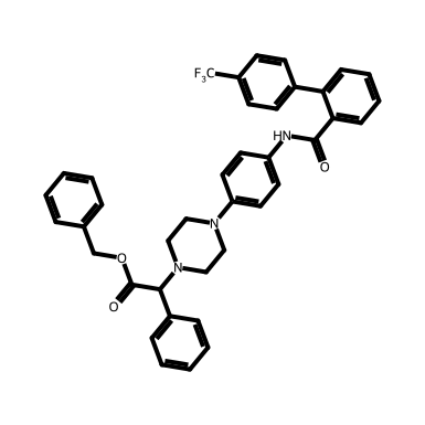 O=C(Nc1ccc(N2CCN(C(C(=O)OCc3ccccc3)c3ccccc3)CC2)cc1)c1ccccc1-c1ccc(C(F)(F)F)cc1